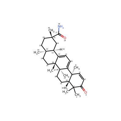 CC1(C)C(=O)C=C[C@]2(C)C3=CC=C4[C@@H]5C[C@@](C)(C(N)=O)CC[C@]5(C)CC[C@@]4(C)[C@]3(C)CC[C@@H]12